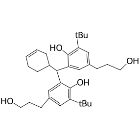 CC(C)(C)c1cc(CCCO)cc(C(c2cc(CCCO)cc(C(C)(C)C)c2O)C2CC=CCC2)c1O